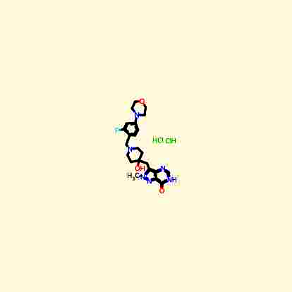 Cl.Cl.Cn1nc2c(=O)[nH]cnc2c1CC1(O)CCN(Cc2ccc(N3CCOCC3)cc2F)CC1